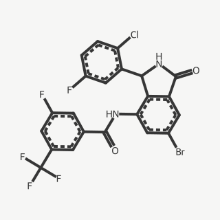 O=C(Nc1cc(Br)cc2c1C(c1cc(F)ccc1Cl)NC2=O)c1cc(F)cc(C(F)(F)F)c1